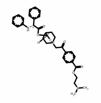 CN(C)CCOC(=O)c1ccc(C(=O)C[N+]23CCC(CC2)[C@@H](OC(=O)[C@H](Nc2ccccc2)c2ccccc2)C3)cc1